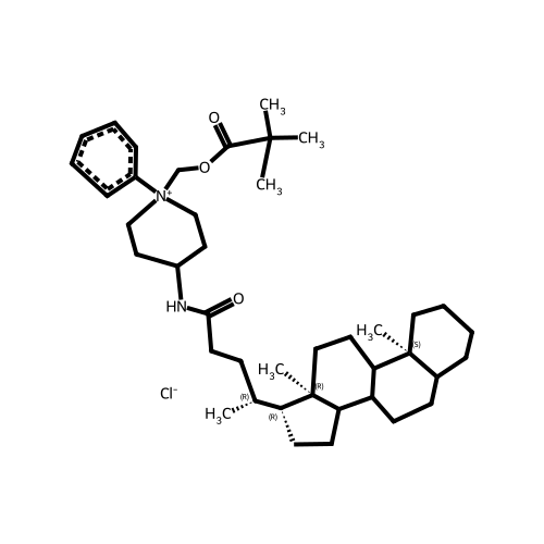 C[C@H](CCC(=O)NC1CC[N+](COC(=O)C(C)(C)C)(c2ccccc2)CC1)[C@H]1CCC2C3CCC4CCCC[C@]4(C)C3CC[C@@]21C.[Cl-]